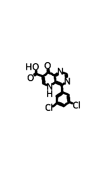 O=C(O)c1c[nH]c2c(-c3cc(Cl)cc(Cl)c3)ncnc2c1=O